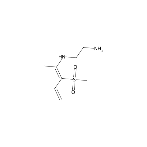 C=C/C(=C(\C)NCCN)S(C)(=O)=O